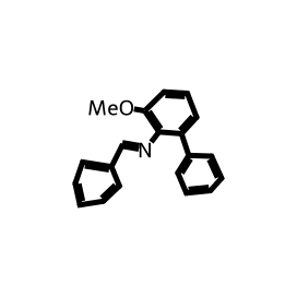 COc1cccc(-c2ccccc2)c1N=Cc1ccccc1